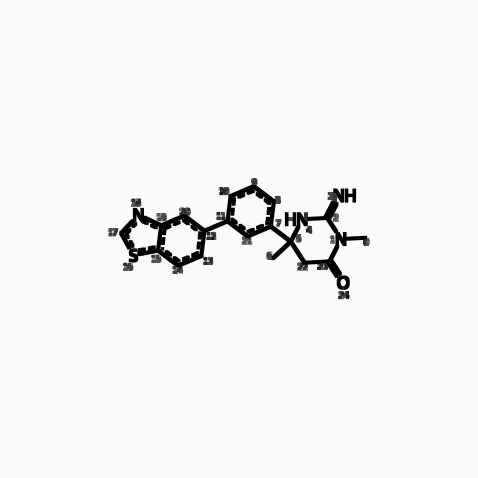 CN1C(=N)NC(C)(c2cccc(-c3ccc4scnc4c3)c2)CC1=O